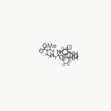 COC(=O)C1CCN(Cc2nc3cc(Cl)c4c(c3o2)C2(CCCCC2)NC(=O)N4)CC1